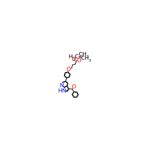 CC(C)(C)OC(=O)CCCOc1ccc(-c2cnc3[nH]cc(C(=O)c4ccccc4)c3c2)cc1